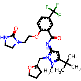 Cn1c(C(C)(C)C)c/c(=N\C(=O)c2cc(C(F)(F)F)ccc2OCCN2CCNC2=O)n1C[C@H]1CCCO1